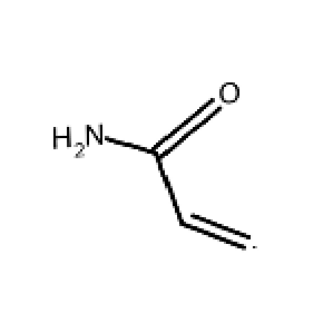 [CH]=CC(N)=O